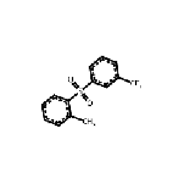 Cc1ccccc1S(=O)(=O)c1[c]c(C(F)(F)F)ccc1